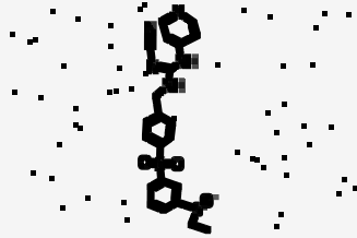 CC[S+]([O-])c1cccc(S(=O)(=O)c2ccc(CNC(=NC#N)Nc3ccncc3)cc2)c1